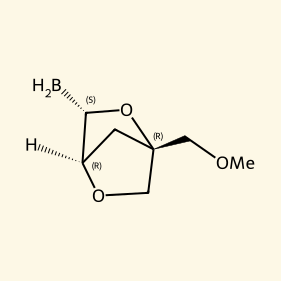 B[C@@H]1O[C@]2(COC)CO[C@@H]1C2